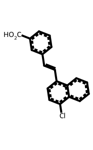 O=C(O)c1cccc(C=Cc2ccc(Cl)c3ccccc23)c1